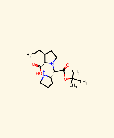 CC[C@H]1CCN(C(C(=O)OC(C)(C)C)[C@@H]2CCCN2)[C@@H]1C(=O)O